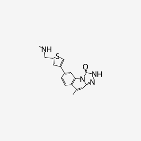 CNCc1cc(-c2ccc3c(C)cc4n[nH]c(=O)n4c3c2)cs1